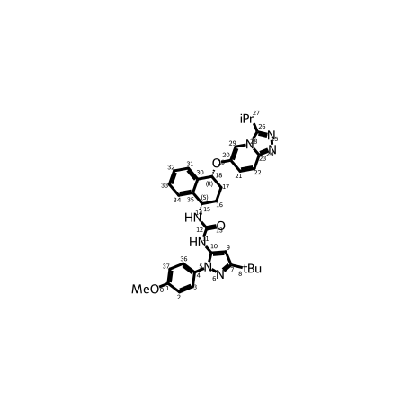 COc1ccc(-n2nc(C(C)(C)C)cc2NC(=O)N[C@H]2CC[C@@H](Oc3ccc4nnc(C(C)C)n4c3)c3ccccc32)cc1